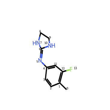 Cc1ccc(N=C2NCCN2)cc1F